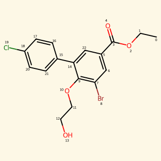 CCOC(=O)c1cc(Br)c(OCCO)c(-c2ccc(Cl)cc2)c1